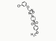 COc1ccc(S(=O)(=O)N2CCN(c3nc(COc4cccc(Cl)c4)no3)CC2)cc1